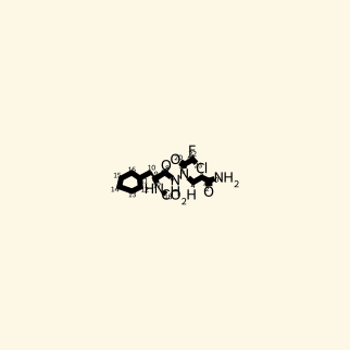 NC(=O)CCN(NC(=O)[C@H](CC1CCCCC1)NC(=O)O)C(=O)[C@H](F)Cl